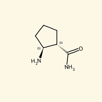 NC(=O)[C@H]1CCC[C@@H]1N